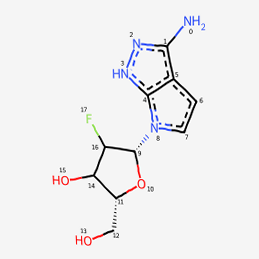 Nc1n[nH]c2c1ccn2[C@@H]1O[C@H](CO)C(O)C1F